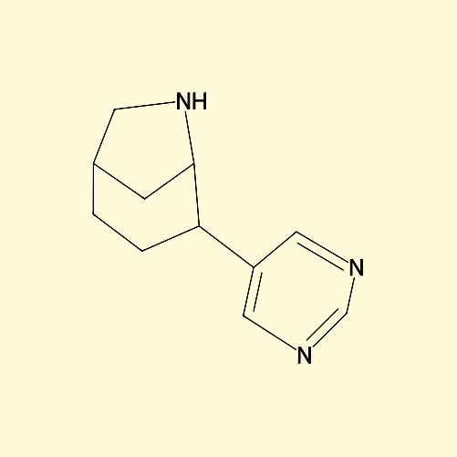 c1ncc(C2CCC3CNC2C3)cn1